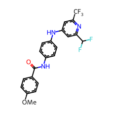 COc1ccc(C(=O)Nc2ccc(Nc3cc(C(F)F)nc(C(F)(F)F)c3)cc2)cc1